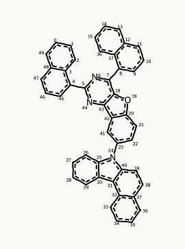 c1ccc2c(-c3nc(-c4cccc5ccccc45)c4oc5ccc(-n6c7ccccc7c7c8ccccc8ccc76)cc5c4n3)cccc2c1